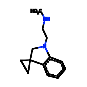 O=C(O)NCCN1CC2(CC2)c2ccccc21